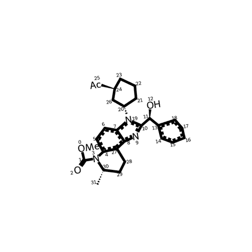 COC(=O)N1c2ccc3c(nc([C@@H](O)c4ccccc4)n3[C@H]3CCC[C@H](C(C)=O)C3)c2CC[C@@H]1C